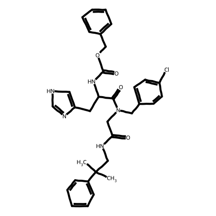 CC(C)(CNC(=O)CN(Cc1ccc(Cl)cc1)C(=O)C(Cc1c[nH]cn1)NC(=O)OCc1ccccc1)c1ccccc1